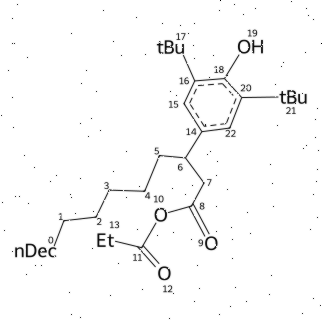 CCCCCCCCCCCCCCCC(CC(=O)OC(=O)CC)c1cc(C(C)(C)C)c(O)c(C(C)(C)C)c1